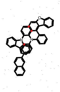 c1ccc(N(c2ccc(-c3ccc4ccccc4c3)cc2)c2ccccc2-n2c3ccccc3c3ccccc32)c(-c2cccc3oc4ccccc4c23)c1